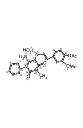 COc1cc(C=CN(C(=O)O)c2c(N)n(-c3ccccc3)c(=O)n(C)c2=O)ccc1OC(C)=O